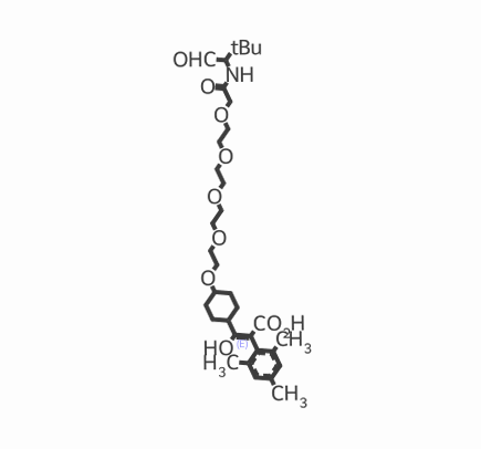 Cc1cc(C)c(/C(C(=O)O)=C(\O)C2CCC(OCCOCCOCCOCCOCC(=O)NC(C=O)C(C)(C)C)CC2)c(C)c1